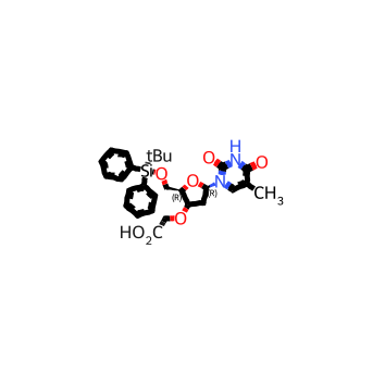 Cc1cn([C@H]2CC(OCC(=O)O)[C@@H](CO[Si](c3ccccc3)(c3ccccc3)C(C)(C)C)O2)c(=O)[nH]c1=O